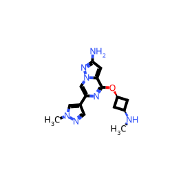 CN[C@H]1C[C@@H](Oc2nc(-c3cnn(C)c3)cn3nc(N)cc23)C1